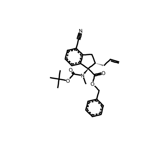 C=CC[C@H]1Cc2c(C#N)cccc2[C@]1(C(=O)OCc1ccccc1)N(C)C(=O)OC(C)(C)C